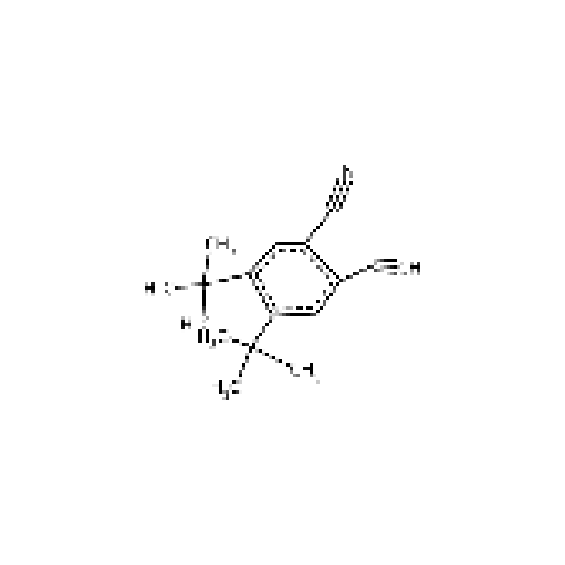 C#Cc1cc(C(C)(C)C)c(C(C)(C)C)cc1C#N